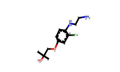 CC(C)(O)COc1ccc(NCCN)c(F)c1